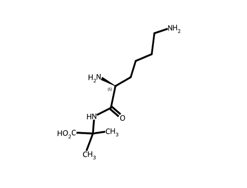 CC(C)(NC(=O)[C@@H](N)CCCCN)C(=O)O